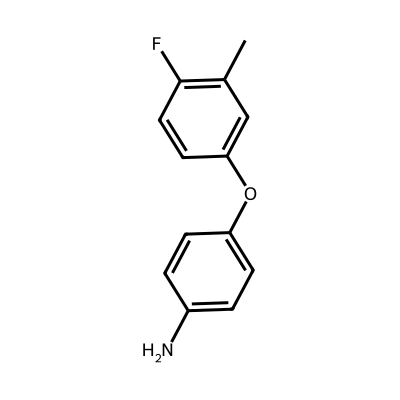 Cc1cc(Oc2ccc(N)cc2)ccc1F